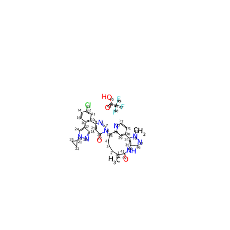 C[C@@H]1CCC[C@H](n2cnc(-c3cc(Cl)ccc3-c3cnn(C4CC4)c3)cc2=O)c2cc(ccn2)-c2c(cnn2C)NC1=O.O=C(O)C(F)(F)F